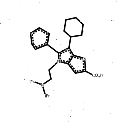 CC(C)N(CCn1c(-c2ccccc2)c(C2CCCCC2)c2sc(C(=O)O)cc21)C(C)C